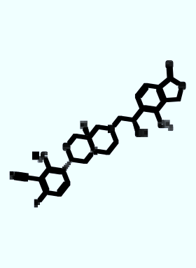 Cc1c([C@H]2CN3CCN(C[C@H](O)c4ccc5c(c4C)COC5=O)C[C@H]3CO2)ccc(F)c1C#N